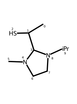 CC(S)C1N(C)CCN1C(C)C